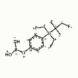 CC(C)(CF)[Si](CF)(CF)c1ccc(OB(O)O)cc1